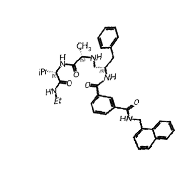 CCNC(=O)[C@@H](NC(=O)[C@H](C)NC[C@H](Cc1ccccc1)NC(=O)c1cccc(C(=O)NCc2cccc3ccccc23)c1)C(C)C